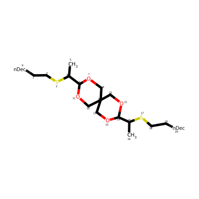 CCCCCCCCCCCCSC(C)C1OCC2(CO1)COC(C(C)SCCCCCCCCCCCC)OC2